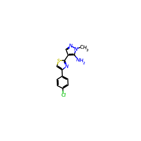 Cn1ncc(-c2nc(-c3ccc(Cl)cc3)cs2)c1N